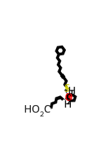 O=C(O)CCC/C=C\C[C@@H]1[C@H](CSCCC#CCCCCCC2CCCCC2)[C@@H]2CC[C@H]1O2